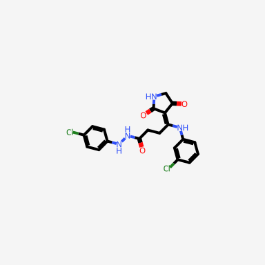 O=C(CCC(Nc1cccc(Cl)c1)=C1C(=O)CNC1=O)NNc1ccc(Cl)cc1